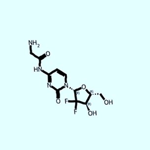 NCC(=O)Nc1ccn([C@@H]2O[C@H](CO)[C@@H](O)C2(F)F)c(=O)n1